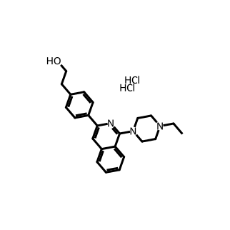 CCN1CCN(c2nc(-c3ccc(CCO)cc3)cc3ccccc23)CC1.Cl.Cl